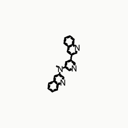 CN(c1cncc(-c2cnc3ccccc3c2)c1)c1cnc2ccccc2c1